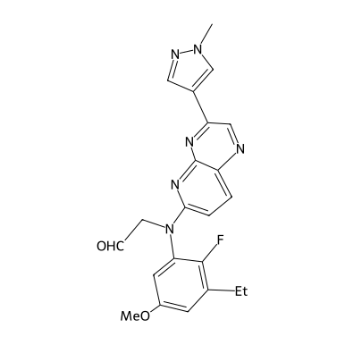 CCc1cc(OC)cc(N(CC=O)c2ccc3ncc(-c4cnn(C)c4)nc3n2)c1F